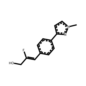 Cn1ccc(-c2ccc(C=C(F)CO)cc2)n1